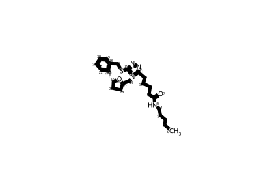 CCCCCNC(=O)CCCCc1nnc(SCc2ccccc2F)n1CC1CCCO1